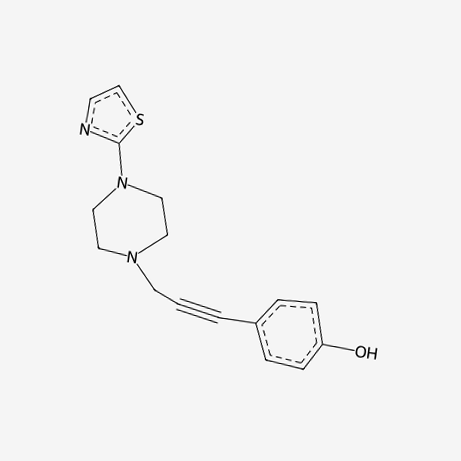 Oc1ccc(C#CCN2CCN(c3nccs3)CC2)cc1